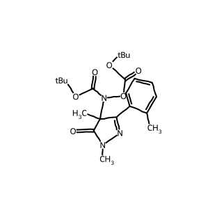 Cc1ccccc1C1=NN(C)C(=O)C1(C)N(OC(=O)OC(C)(C)C)C(=O)OC(C)(C)C